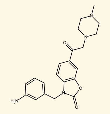 CN1CCN(CC(=O)c2ccc3c(c2)oc(=O)n3Cc2cccc(N)c2)CC1